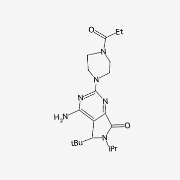 CCC(=O)N1CCN(c2nc(N)c3c(n2)C(=O)N(C(C)C)C3C(C)(C)C)CC1